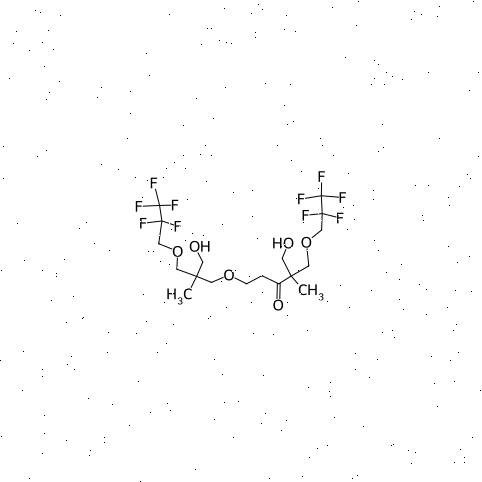 CC(CO)(COCCC(=O)C(C)(CO)COCC(F)(F)C(F)(F)F)COCC(F)(F)C(F)(F)F